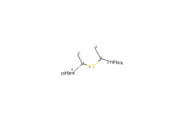 CCCCCCC(C)SC(C)CCCCCC